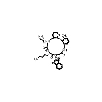 Cc1cccc2c1Sc1ncccc1CN[C@@H](CCCN)C(=O)N[C@@H](CCCCN)C(=O)N(C)[C@@H](Cc1c[nH]c3ccccc13)C(=O)NC2